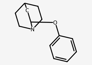 c1ccc(OC2CC3CCN2CC3)cc1